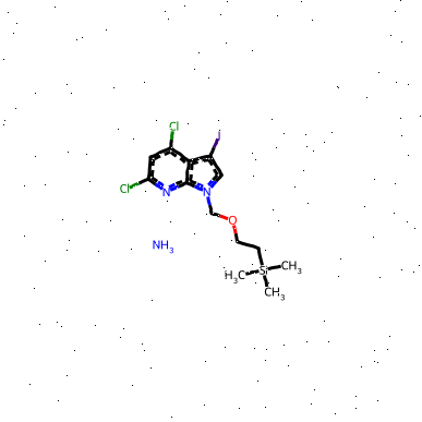 C[Si](C)(C)CCOCn1cc(I)c2c(Cl)cc(Cl)nc21.N